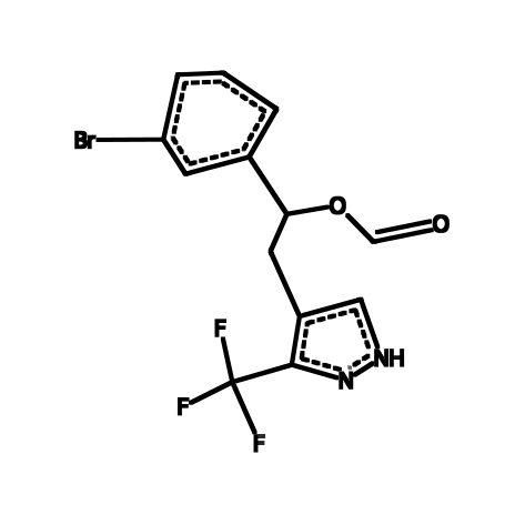 O=COC(Cc1c[nH]nc1C(F)(F)F)c1cccc(Br)c1